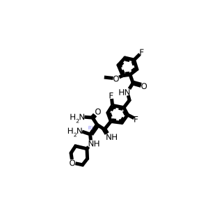 COc1ccc(F)cc1C(=O)NCc1c(F)cc(C(=N)/C(C(N)=O)=C(/N)NC2CCOCC2)cc1F